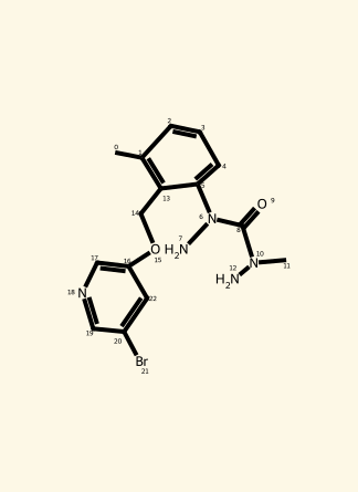 Cc1cccc(N(N)C(=O)N(C)N)c1COc1cncc(Br)c1